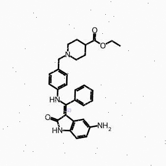 CCOC(=O)C1CCN(Cc2ccc(N/C(=C3\C(=O)Nc4ccc(N)cc43)c3ccccc3)cc2)CC1